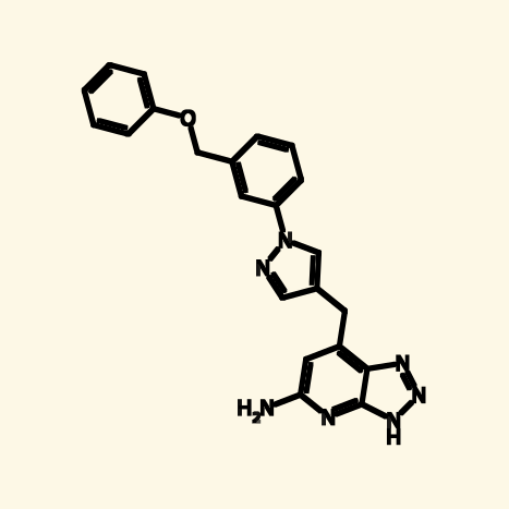 Nc1cc(Cc2cnn(-c3cccc(COc4ccccc4)c3)c2)c2nn[nH]c2n1